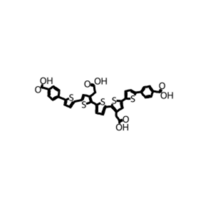 O=C(O)Cc1cc(-c2ccc(-c3ccc(C(=O)O)cc3)s2)sc1-c1ccc(-c2sc(-c3ccc(-c4ccc(C(=O)O)cc4)s3)cc2CC(=O)O)s1